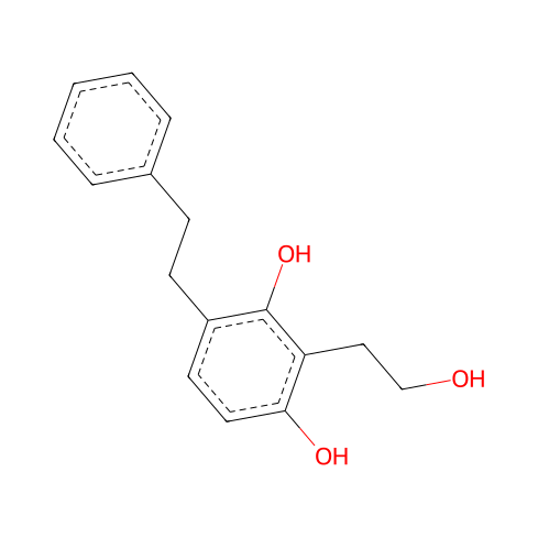 OCCc1c(O)ccc(CCc2ccccc2)c1O